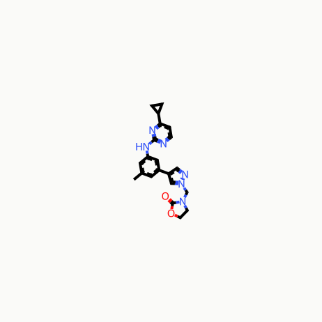 Cc1cc(Nc2nccc(C3CC3)n2)cc(-c2cnn(CN3CCOC3=O)c2)c1